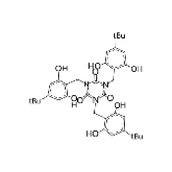 CC(C)(C)c1cc(O)c(Cn2c(=O)n(Cc3c(O)cc(C(C)(C)C)cc3O)c(=O)n(Cc3c(O)cc(C(C)(C)C)cc3O)c2=O)c(O)c1